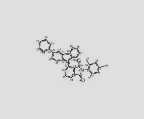 Cc1cc(C)c(N2C(=O)c3cccc(-n4c5ccccc5c5cc(-c6ccccn6)ccc54)c3C2=O)c(C)c1